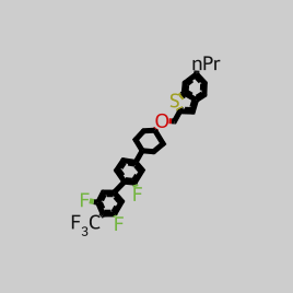 CCCc1ccc2cc(COC3CCC(c4ccc(-c5cc(F)c(C(F)(F)F)c(F)c5)c(F)c4)CC3)sc2c1